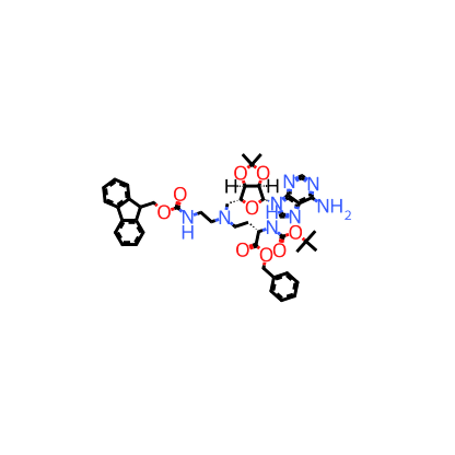 CC(C)(C)OC(=O)N[C@@H](CCN(CCNC(=O)OCC1c2ccccc2-c2ccccc21)C[C@H]1O[C@@H](n2cnc3c(N)ncnc32)[C@@H]2OC(C)(C)O[C@@H]21)C(=O)OCc1ccccc1